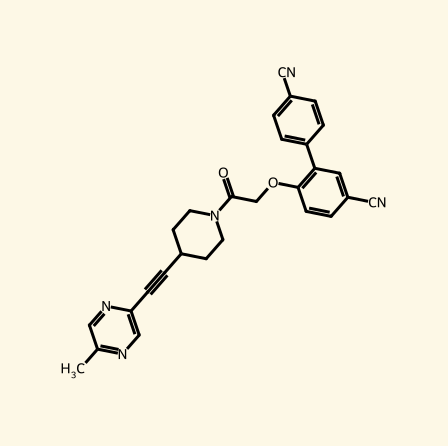 Cc1cnc(C#CC2CCN(C(=O)COc3ccc(C#N)cc3-c3ccc(C#N)cc3)CC2)cn1